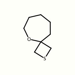 C1CCOC2(CC1)CSC2